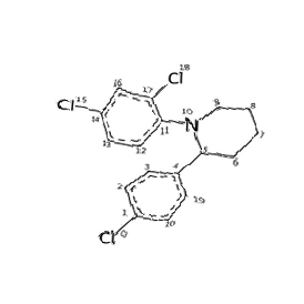 Clc1ccc(C2CCCCN2c2ccc(Cl)cc2Cl)cc1